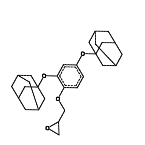 c1cc(OCC2CO2)c(OC23CC4CC(CC(C4)C2)C3)cc1OC12CC3CC(CC(C3)C1)C2